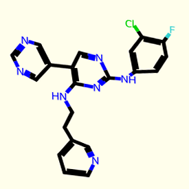 Fc1ccc(Nc2ncc(-c3cncnc3)c(NCCc3cccnc3)n2)cc1Cl